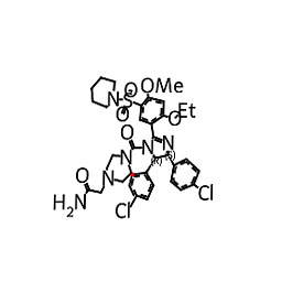 CCOc1cc(OC)c(S(=O)(=O)N2CCCCC2)cc1C1=N[C@@H](c2ccc(Cl)cc2)[C@@H](c2ccc(Cl)cc2)N1C(=O)N1CCN(CC(N)=O)CC1